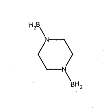 BN1CCN(B)CC1